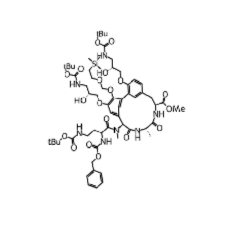 COC(=O)[C@@H]1Cc2ccc(OC[C@H](O)CNC(=O)OC(C)(C)C)c(c2)-c2cc(cc(OC[C@H](O)CNC(=O)OC(C)(C)C)c2OCOCC[Si](C)(C)C)[C@H](N(C)C(=O)[C@H](CCNC(=O)OC(C)(C)C)NC(=O)OCc2ccccc2)C(=O)N[C@@H](C)C(=O)N1